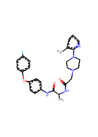 CC(NC(=O)CN1CCN(c2ncccc2C(F)(F)F)CC1)C(=O)Nc1ccc(Oc2ccc(F)cc2)cc1